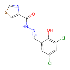 O=C(N/N=C/c1cc(Cl)cc(Cl)c1O)c1cscn1